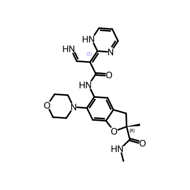 CNC(=O)[C@@]1(C)Cc2cc(NC(=O)/C(C=N)=C3\N=CC=CN3)c(N3CCOCC3)cc2O1